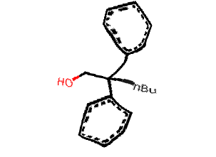 CCCCC(CO)(c1ccccc1)c1ccccc1